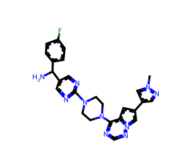 Cn1cc(-c2cc3c(N4CCN(c5ncc(C(N)c6ccc(F)cc6)cn5)CC4)ncnn3c2)cn1